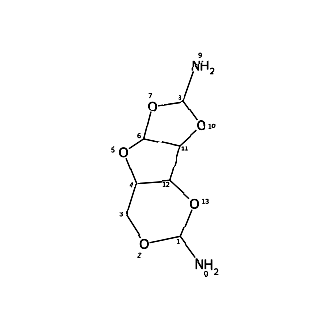 NC1OCC2OC3OC(N)OC3C2O1